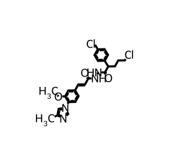 COc1cc(/C=C/C(=O)NNC(=O)C(CCCCl)c2ccc(Cl)cc2)ccc1-n1cnc(C)c1